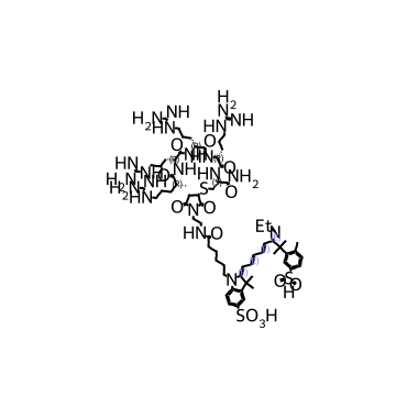 CC\N=C(/C=C/C=C/C=C1/N(CCCCCC(=O)NCCN2C(=O)CC(SC[C@@H](NC(=O)[C@@H](CCCNC(=N)N)NC(=O)[C@@H](CCCNC(=N)N)NC(=O)[C@@H](CCCNC(=N)N)NC(=O)[C@H](C)CCCNC(=N)N)C(N)=O)C2=O)c2ccc(S(=O)(=O)O)cc2C1(C)C)C(C)(C)c1cc([SH](=O)=O)ccc1C